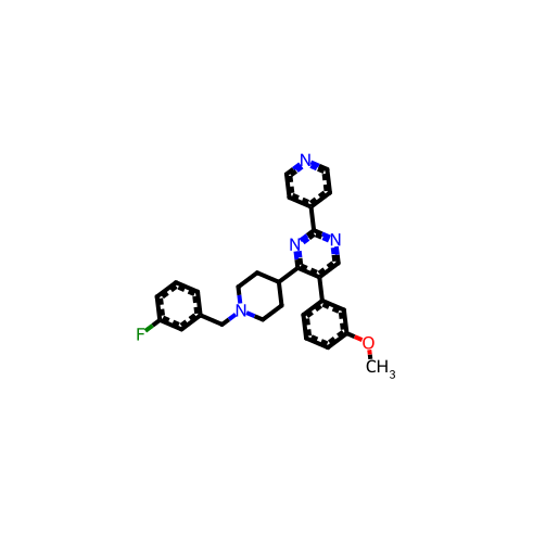 COc1cccc(-c2cnc(-c3ccncc3)nc2C2CCN(Cc3cccc(F)c3)CC2)c1